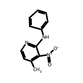 Cc1ccnc(Nc2ccccc2)c1[N+](=O)[O-]